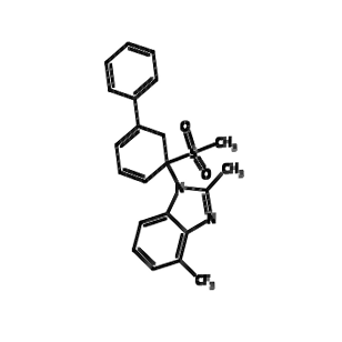 Cc1nc2c(C(F)(F)F)cccc2n1C1(S(C)(=O)=O)C=CC=C(c2ccccc2)C1